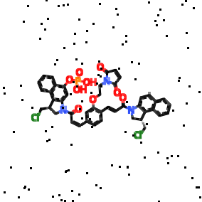 O=C1C=CC(=O)N1CCOc1cc(/C=C\C(=O)N2C[C@@H](CCl)c3c2cc(OP(=O)(O)O)c2ccccc32)ccc1/C=C/C(=O)N1C[C@@H](CCl)c2c1c[c]c1ccccc21